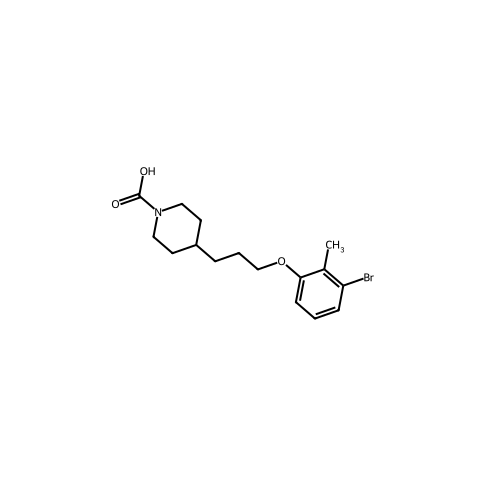 Cc1c(Br)cccc1OCCCC1CCN(C(=O)O)CC1